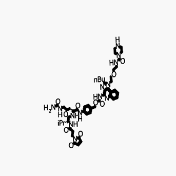 CCCCc1nc2c(NC(=O)OCc3ccc(NC(=O)[C@@H](CCCNC(N)=O)NC(=O)[C@H](NC(=O)CCN4C(=O)C=CC4=O)C(C)C)cc3)nc3ccccc3c2n1CCOCCNC(=O)N1CCNCC1